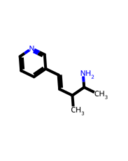 CC(N)C(C)C=Cc1cccnc1